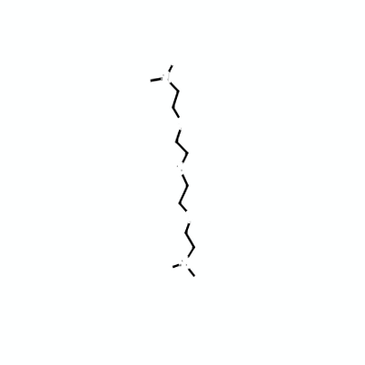 CN(C)CCOCC[N]CCOCCN(C)C